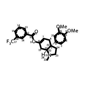 COc1ccc([C@@]23CC=C(OC(=O)c4cccc(C(F)(F)F)c4)C[C@@H]2N(C)CC3)cc1OC